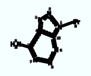 CC(C)n1nnc2c(N)nnnc21